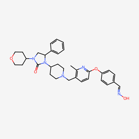 Cc1nc(Oc2ccc(C=NO)cc2)ccc1CN1CCC(N2C(=O)N(C3CCOCC3)CC2c2ccccc2)CC1